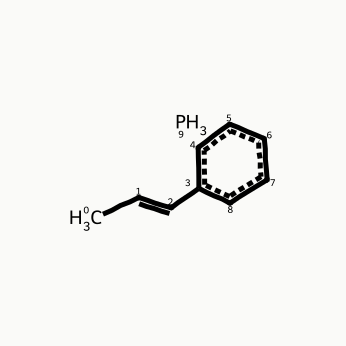 CC=Cc1ccccc1.P